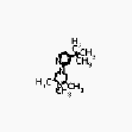 C[C@@H]1CN(c2cc(C(C)(C)C)ccn2)C[C@H](C)N1C